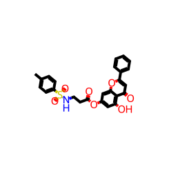 Cc1ccc(S(=O)(=O)NCCC(=O)Oc2cc(O)c3c(=O)cc(-c4ccccc4)oc3c2)cc1